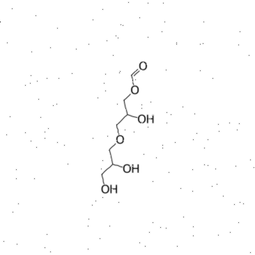 O=COCC(O)COCC(O)CO